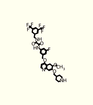 COC1Cc2c(OCc3cc(F)cc(NC(=O)C(=O)NCC4C=C(C(F)(F)F)C=C(C(F)(F)F)C4)c3)ccnc2C=C1OCC1CCNCC1